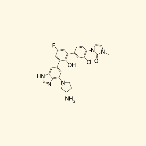 Cn1ccn(-c2ccc(-c3cc(F)cc(-c4cc(N5CC[C@H](N)C5)c5nc[nH]c5c4)c3O)cc2Cl)c1=O